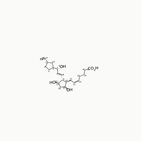 CCCC1CCC([C@H](O)/C=C/[C@@H]2[C@@H](C/C=C\CCCC(=O)O)[C@@H](O)C[C@H]2O)C1